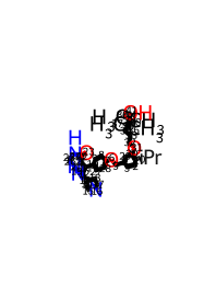 CC(C)c1ccc(COc2ccc(-c3c(-c4ccncc4)nn4c3C(=O)NCC4)cc2)cc1OCCCC(C)(C)[Si](C)(C)O